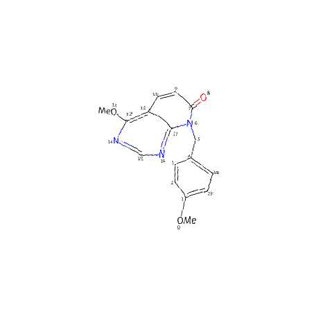 COc1ccc(Cn2c(=O)ccc3c(OC)ncnc32)cc1